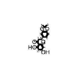 CC1(C)Oc2ccc([C@@H]3CC(=O)c4c(O)cc(O)cc4O3)cc2O1